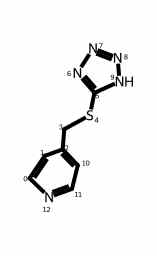 c1cc(CSc2nnn[nH]2)ccn1